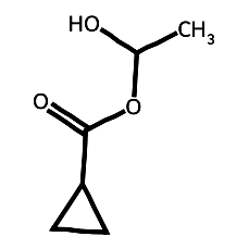 CC(O)OC(=O)C1CC1